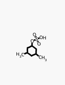 CC1CC(C)CC(OS(=O)(=O)O)C1